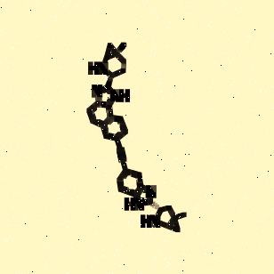 CC12CC1N[C@H](c1nc3cc(C#Cc4ccc5c(ccc6nc([C@@H]7CC[C@@]8(C)CC8N7)[nH]c65)c4)ccc3[nH]1)C2